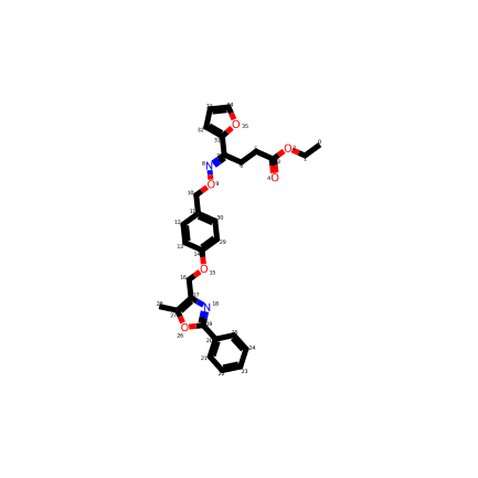 CCOC(=O)CC/C(=N\OCc1ccc(OCc2nc(-c3ccccc3)oc2C)cc1)c1ccco1